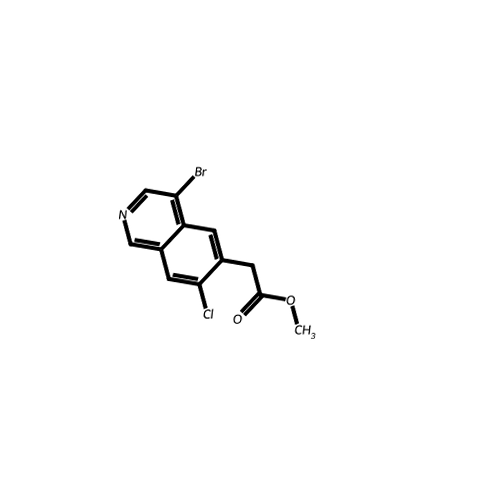 COC(=O)Cc1cc2c(Br)cncc2cc1Cl